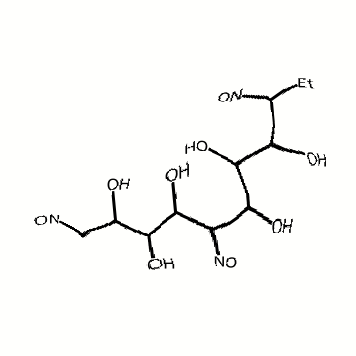 CCC(N=O)C(O)C(O)C(O)C(N=O)C(O)C(O)C(O)CN=O